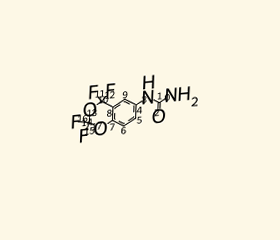 NC(=O)Nc1ccc2c(c1)C(F)(F)OC(F)(F)O2